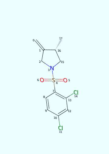 C=C1CN(S(=O)(=O)c2ccc(Cl)cc2Cl)C[C@H]1C